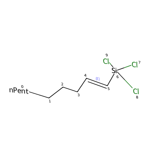 CCCCCCCC/C=C/[Si](Cl)(Cl)Cl